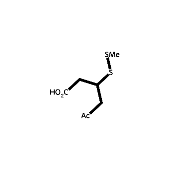 CSSC(CC(C)=O)CC(=O)O